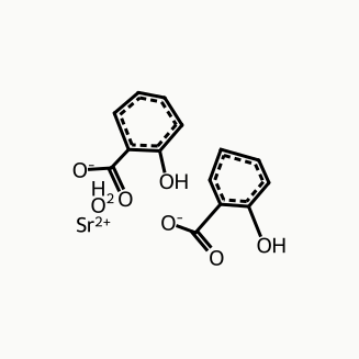 O.O=C([O-])c1ccccc1O.O=C([O-])c1ccccc1O.[Sr+2]